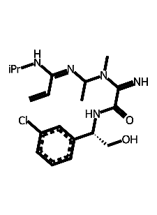 C=C/C(=N\C(C)N(C)C(=N)C(=O)N[C@H](CO)c1cccc(Cl)c1)NC(C)C